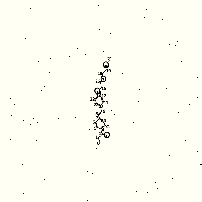 CCC(=O)c1ccc(C=Cc2ccc(OCCOCCOC)cc2)cc1